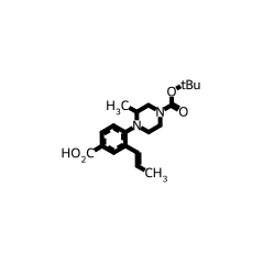 CC=Cc1cc(C(=O)O)ccc1N1CCN(C(=O)OC(C)(C)C)CC1C